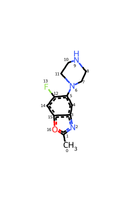 Cc1nc2cc(N3CCNCC3)c(F)cc2o1